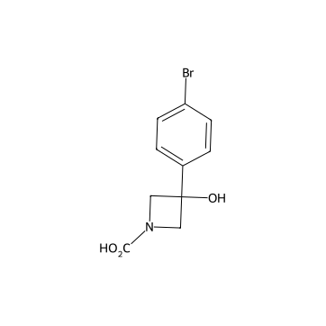 O=C(O)N1CC(O)(c2ccc(Br)cc2)C1